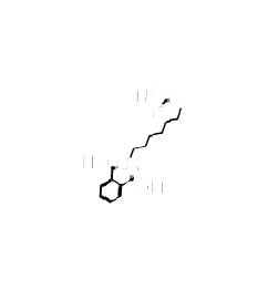 CCCCCC(CC)OC(=O)O.O=C(O)c1ccccc1C(=O)O